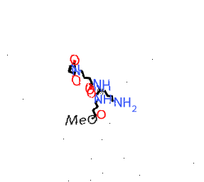 COC(=O)CCCNC(=O)[C@H](CCCCN)NC(=O)CCCN1C(=O)C=CC1=O